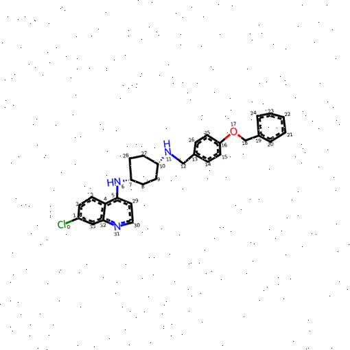 Clc1ccc2c(N[C@H]3CC[C@@H](NCc4ccc(OCc5ccccc5)cc4)CC3)ccnc2c1